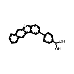 OB(O)c1ccc(-c2ccc3oc4cc5ccccc5cc4c3c2)cc1